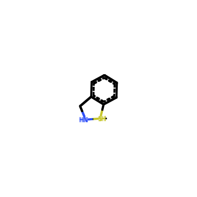 c1ccc2c(c1)CN[SH]2